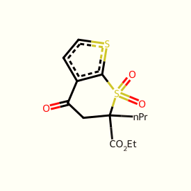 CCCC1(C(=O)OCC)CC(=O)c2ccsc2S1(=O)=O